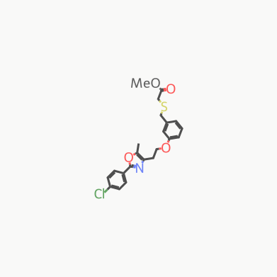 COC(=O)CSCc1cccc(OCCc2nc(-c3ccc(Cl)cc3)oc2C)c1